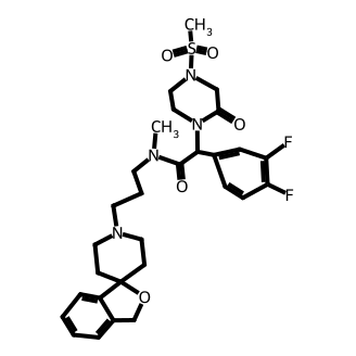 CN(CCCN1CCC2(CC1)OCc1ccccc12)C(=O)C(c1ccc(F)c(F)c1)N1CCN(S(C)(=O)=O)CC1=O